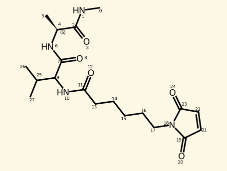 CNC(=O)[C@H](C)NC(=O)C(NC(=O)CCCCCN1C(=O)C=CC1=O)C(C)C